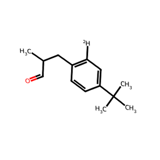 [2H]c1cc(C(C)(C)C)ccc1CC(C)C=O